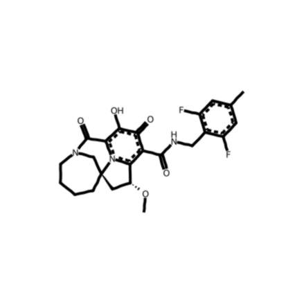 CO[C@@H]1C[C@@]23CCCCN(C2)C(=O)c2c(O)c(=O)c(C(=O)NCc4c(F)cc(C)cc4F)c1n23